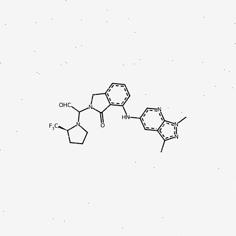 Cc1nn(C)c2ncc(Nc3cccc4c3C(=O)N(C(C=O)N3CCC[C@H]3C(F)(F)F)C4)cc12